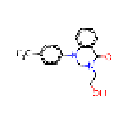 O=C1c2ccccc2N(c2ccc(C(F)(F)F)cc2)CN1CCO